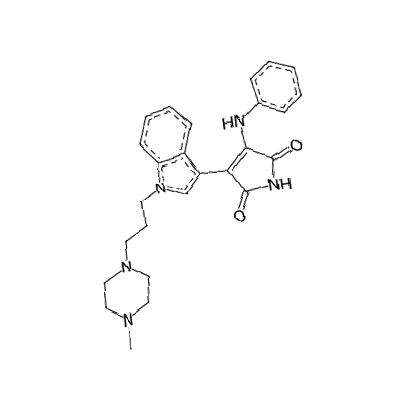 CN1CCN(CCCn2cc(C3=C(Nc4ccccc4)C(=O)NC3=O)c3ccccc32)CC1